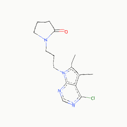 Cc1c(C)n(CCCN2CCCC2=O)c2ncnc(Cl)c12